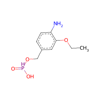 CCOc1cc(CO[PH](=O)O)ccc1N